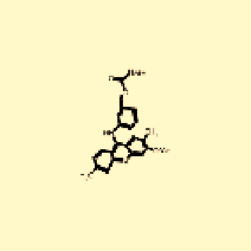 CNC(=O)OCc1cccc(Nc2c3ccc(C)cc3nc3cc(OC)c(C)cc23)c1